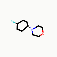 F[C@H]1CC[C@H](N2CCOCC2)CC1